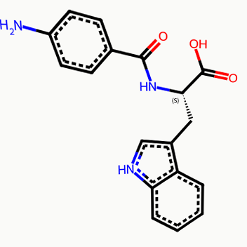 Nc1ccc(C(=O)N[C@@H](Cc2c[nH]c3ccccc23)C(=O)O)cc1